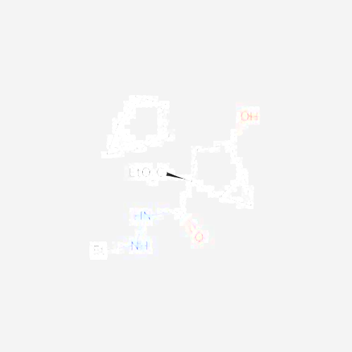 CCNNC(=O)[C@]1(C(=O)OCC)C[C@H](O)C2CC21.c1cc2cc-2c1